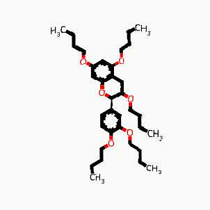 CCCCOc1cc(OCCCC)c2c(c1)O[C@H](c1ccc(OCCCC)c(OCCCC)c1)C(OCCCC)C2